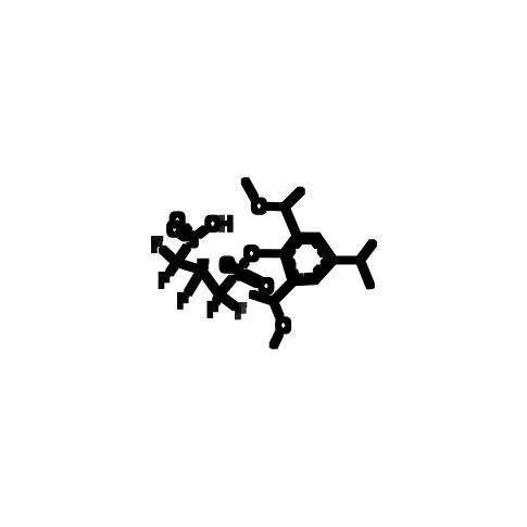 COC(C)c1cc(C(C)C)cc(C(C)OC)c1OS(=O)(=O)C(F)(F)C(F)(F)C(F)(F)S(=O)(=O)O